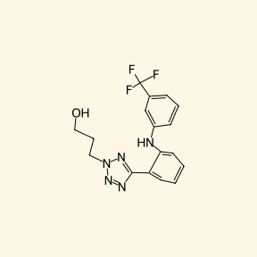 OCCCn1nnc(-c2ccccc2Nc2cccc(C(F)(F)F)c2)n1